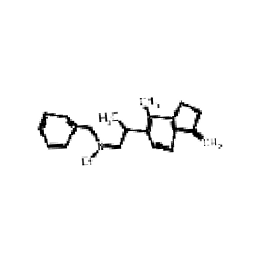 C=C1CCc2c1ccc(C(C)CN(CC)Cc1ccccc1)c2C